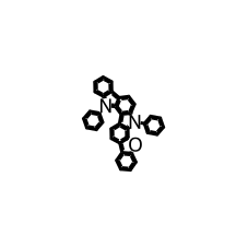 c1ccc(-n2c3ccc4c5ccccc5n(-c5ccccc5)c4c3c3ccc4c5ccccc5oc4c32)cc1